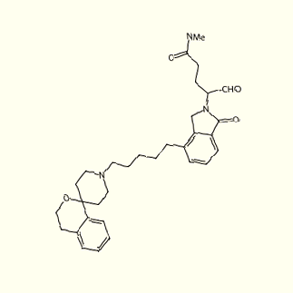 CNC(=O)CCC(C=O)N1Cc2c(CCCCCN3CCC4(CC3)OCCc3ccccc34)cccc2C1=O